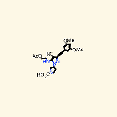 COc1cc(C#Cc2nn(C3CCN(C(=O)O)C3)c(NCCOC(C)=O)c2C#N)cc(OC)c1